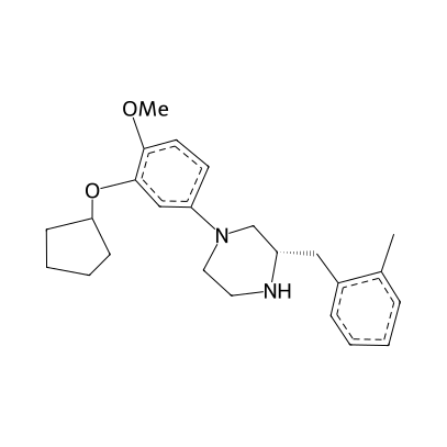 COc1ccc(N2CCN[C@@H](Cc3ccccc3C)C2)cc1OC1CCCC1